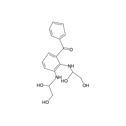 O=C(c1ccccc1)c1cccc(NC(O)CO)c1NC(O)CO